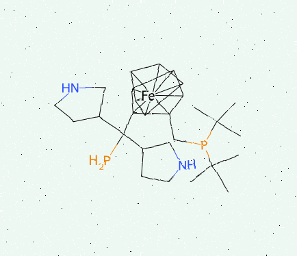 CC(C)(C)P(C[C]12[CH]3[CH]4[CH]5[C]1(C(P)(C1CCNC1)C1CCNC1)[Fe]43521678[CH]2[CH]1[CH]6[CH]7[CH]28)C(C)(C)C